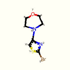 Brc1nc(N2CCOCC2)cs1